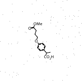 COC(=O)CCCOc1ccc(C(C)C(=O)O)cc1